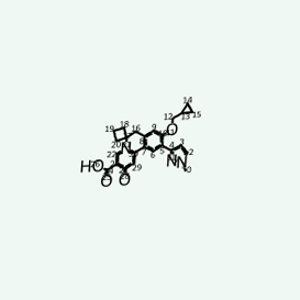 Cn1ccc(-c2cc3c(cc2OCC2CC2)CC2(CCC2)n2cc(C(=O)O)c(=O)cc2-3)n1